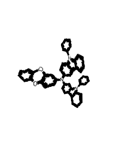 C1=Cc2c(c3ccc(N(c4ccc5c(c4)Oc4ccccc4O5)c4ccc5c(c4)c4ccccc4n5-c4ccccc4)cc3n2-c2ccccc2)CC1